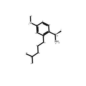 COc1ccc([C@@H](C)N)c(CCCC(C)C)c1